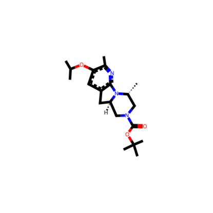 Cc1nc2c(cc1OC(C)C)C[C@@H]1CN(C(=O)OC(C)(C)C)C[C@@H](C)N21